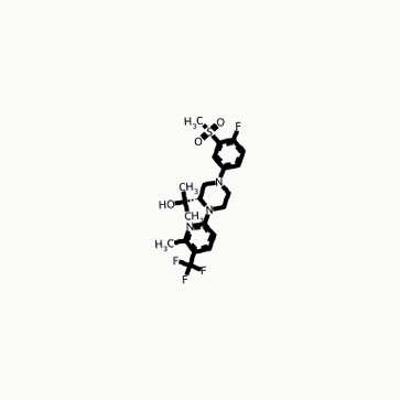 Cc1nc(N2CCN(c3ccc(F)c(S(C)(=O)=O)c3)C[C@H]2C(C)(C)O)ccc1C(F)(F)F